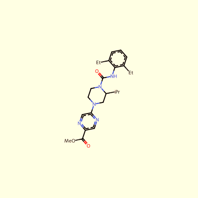 CCc1cccc(CC)c1NC(=O)N1CCN(c2cnc(C(=O)OC)cn2)CC1C(C)C